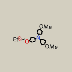 CCOCCOc1ccc(N(c2ccc(OC)cc2)c2ccc(OC)cc2)cc1